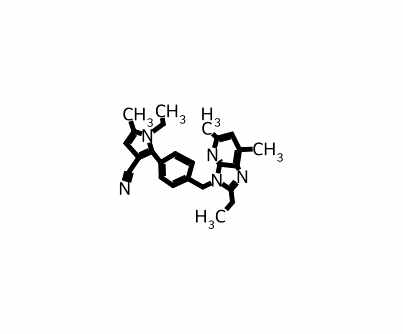 CCc1nc2c(C)cc(C)nc2n1Cc1ccc(-c2c(C#N)cc(C)n2CC)cc1